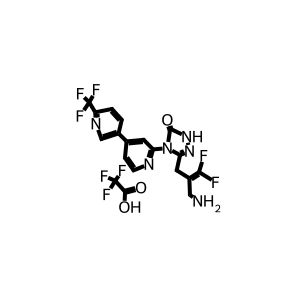 NCC(Cc1n[nH]c(=O)n1-c1cc(-c2ccc(C(F)(F)F)nc2)ccn1)=C(F)F.O=C(O)C(F)(F)F